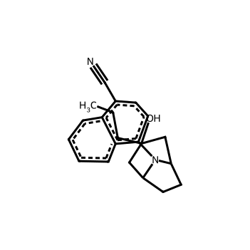 CCCC1(O)CC2CCC(C1)N2c1ccc(C#N)c2ccccc12